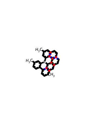 Cc1ccc(-c2ccccn2)[c]([Ir]([c]2cc(C)ccc2-c2ccccn2)[c]2cc(C)ccc2-c2ccccn2)c1